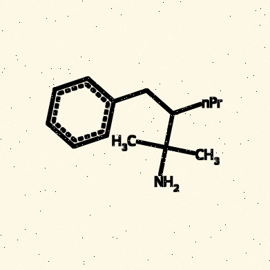 CCC[C](Cc1ccccc1)C(C)(C)N